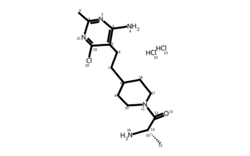 Cc1nc(N)c(CCC2CCN(C(=O)[C@H](C)N)CC2)c(Cl)n1.Cl.Cl